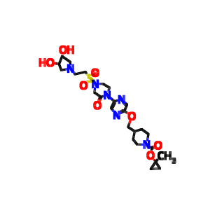 CC1(OC(=O)N2CCC(COc3cnc(N4CCN(S(=O)(=O)CCN5C[C@@H](O)[C@H](O)C5)CC4=O)cn3)CC2)CC1